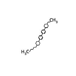 CCCCCCC1CCC(c2ccc(-c3ccc(C4=CCC(CCC)CC4)cc3)cc2)CC1